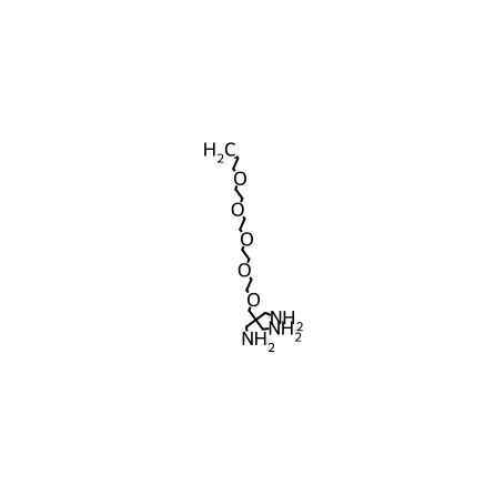 C=CCOCCOCCOCCOCCOCC(CN)(CN)CN